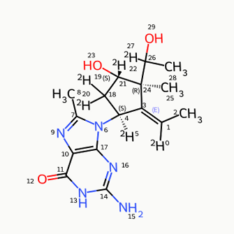 [2H]/C(C)=C1\[C@@]([2H])(n2c(C)nc3c(=O)[nH]c(N)nc32)C([2H])([2H])[C@]([2H])(O)[C@@]1(C)C([2H])(C)O